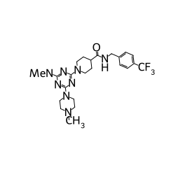 CNc1nc(N2CCC(C(=O)NCc3ccc(C(F)(F)F)cc3)CC2)nc(N2CCN(C)CC2)n1